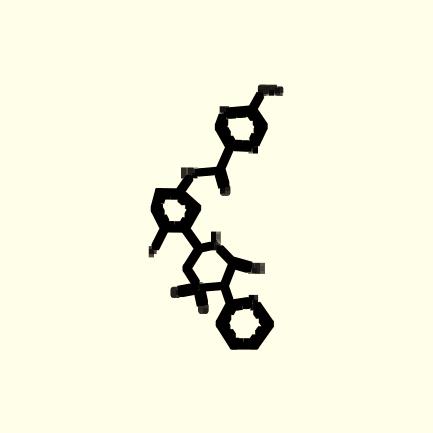 COc1cnc(C(=O)Nc2ccc(F)c(C3CS(=O)(=O)C(c4ccccn4)C(=N)N3)c2)cn1